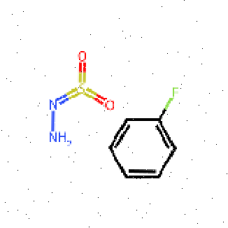 Fc1ccccc1.NN=S(=O)=O